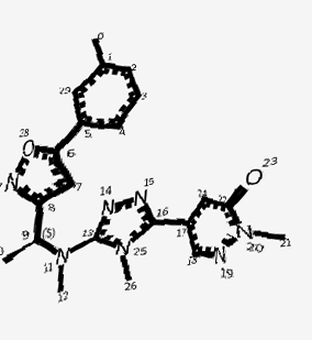 Cc1cccc(-c2cc([C@H](C)N(C)c3nnc(-c4cnn(C)c(=O)c4)n3C)no2)c1